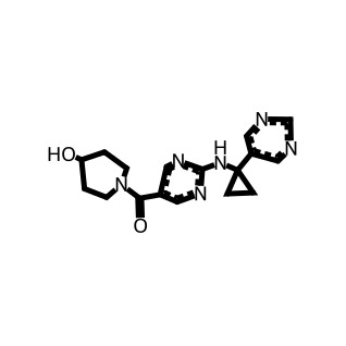 O=C(c1cnc(NC2(c3cncnc3)CC2)nc1)N1CCC(O)CC1